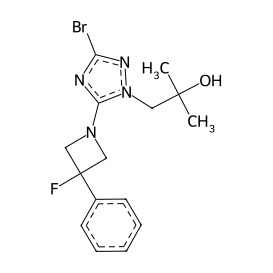 CC(C)(O)Cn1nc(Br)nc1N1CC(F)(c2ccccc2)C1